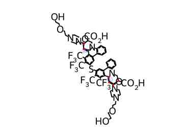 O=C(O)C1CCCN(c2ccccc2-c2cc(Sc3cc(-c4ccccc4N4CCCC(C(=O)O)C4)c(/C=C/C(=O)N4CCN(CCOCCO)CC4)c(C(F)(F)F)c3C(F)(F)F)c(C(F)(F)F)c(C(F)(F)F)c2/C=C/C(=O)N2CCN(CCOCCO)CC2)C1